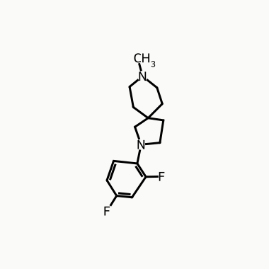 CN1CCC2(CC1)CCN(c1ccc(F)cc1F)C2